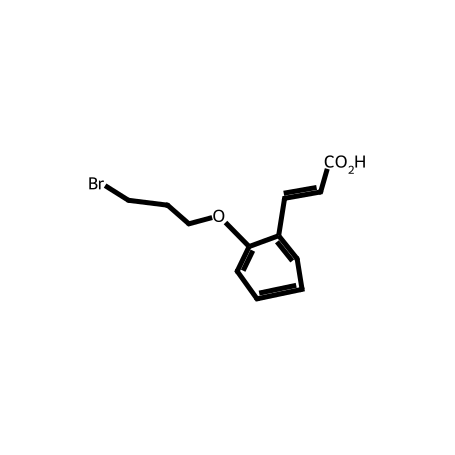 O=C(O)C=Cc1ccccc1OCCCBr